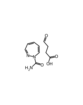 NC(=O)N1C=CC=CC=N1.O=CCCC(=O)O